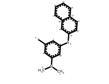 CN(C)c1cc(I)cc(Sc2ccc3ccccc3c2)c1